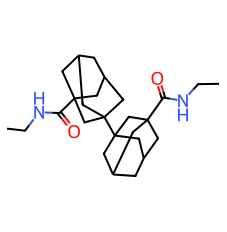 CCNC(=O)C12CC3CC(C1)CC(C14CC5CC(CC(C(=O)NCC)(C5)C1)C4)(C3)C2